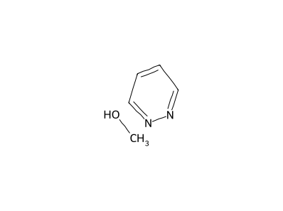 CO.c1ccnnc1